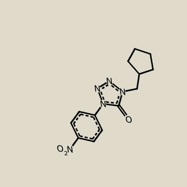 O=c1n(CC2CCCC2)nnn1-c1ccc([N+](=O)[O-])cc1